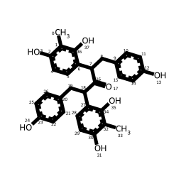 Cc1c(O)ccc(C(Cc2ccc(O)cc2)C(=O)C(Cc2ccc(O)cc2)c2ccc(O)c(C)c2O)c1O